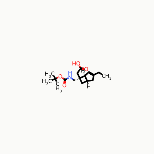 CCC1=C[C@H]2[C@H](C1)C[C@@]2(CNC(=O)OC(C)(C)C)CC(=O)O